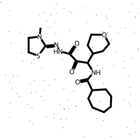 CN1CCS/C1=N\NC(=O)C(=O)C(NC(=O)C1CCCCCC1)C1CCOCC1